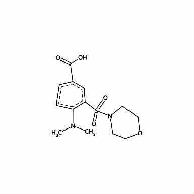 CN(C)c1ccc(C(=O)O)cc1S(=O)(=O)N1CCOCC1